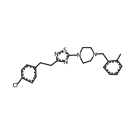 Cc1ccccc1CN1CCN(c2nc(CCc3ccc(Cl)cc3)ns2)CC1